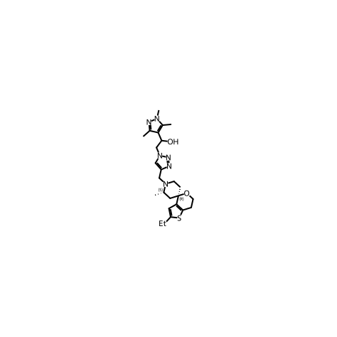 CCc1cc2c(s1)CCO[C@@]21CCN(Cc2cn(CC(O)c3c(C)nn(C)c3C)nn2)[C@@H](C)C1